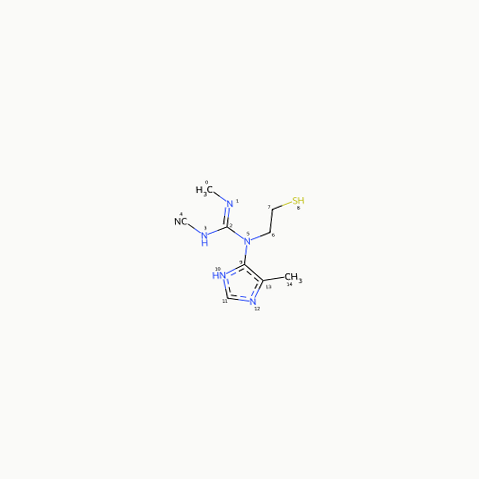 CN=C(NC#N)N(CCS)c1[nH]cnc1C